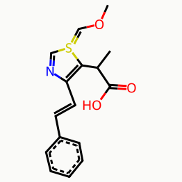 COC=S1C=NC(C=Cc2ccccc2)=C1C(C)C(=O)O